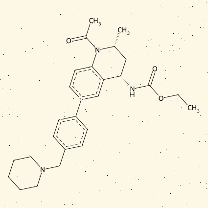 CCOC(=O)N[C@H]1C[C@@H](C)N(C(C)=O)c2ccc(-c3ccc(CN4CCCCC4)cc3)cc21